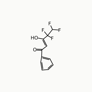 O=C(/C=C(\O)C(F)(F)C(F)F)c1ccccc1